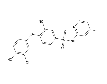 N#Cc1ccc(Oc2ccc(S(=O)(=O)Nc3cc(F)ccn3)cc2C#N)cc1Cl